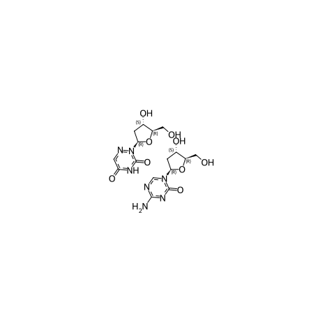 Nc1ncn([C@H]2C[C@H](O)[C@@H](CO)O2)c(=O)n1.O=c1cnn([C@H]2C[C@H](O)[C@@H](CO)O2)c(=O)[nH]1